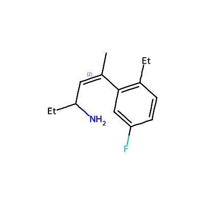 CCc1ccc(F)cc1/C(C)=C\C(N)CC